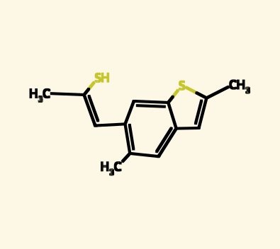 CC(S)=Cc1cc2sc(C)cc2cc1C